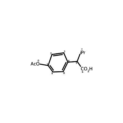 CC(=O)Oc1ccc(C(C(=O)O)C(C)C)cc1